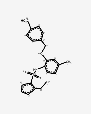 Cc1ccc(NS(=O)(=O)c2occc2CC(C)C)c(OCc2ccc(C(=O)O)cc2)c1